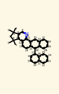 CC1(C)CC(C)(C)c2c1cnc1c2ccc2c(-c3cccc4ccccc34)c3ccccc3cc21